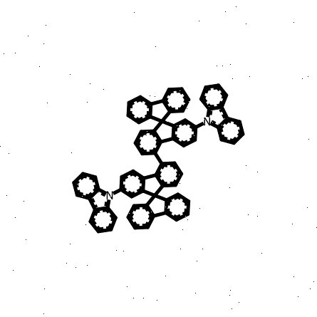 c1ccc2c(c1)-c1ccccc1C21c2cc(-n3c4ccccc4c4ccccc43)ccc2-c2c(-c3cccc4c3-c3ccc(-n5c6ccccc6c6ccccc65)cc3C43c4ccccc4-c4ccccc43)cccc21